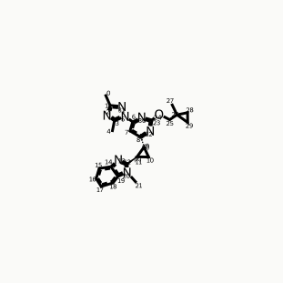 Cc1nc(C)n(-c2cc([C@@H]3C[C@H]3c3nc4ccccc4n3C)nc(OCC3(C)CC3)n2)n1